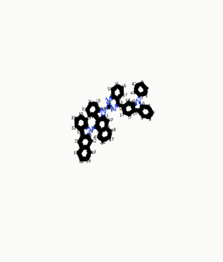 c1ccc(-n2c3ccccc3c3ccc(-c4nc(-n5c6ccccc6c6c(-n7c8ccccc8c8cc9ccccc9cc87)c7ccccc7cc65)nc5ccccc45)cc32)cc1